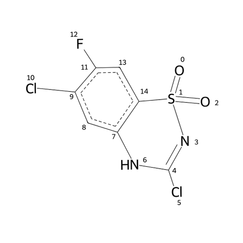 O=S1(=O)N=C(Cl)Nc2cc(Cl)c(F)cc21